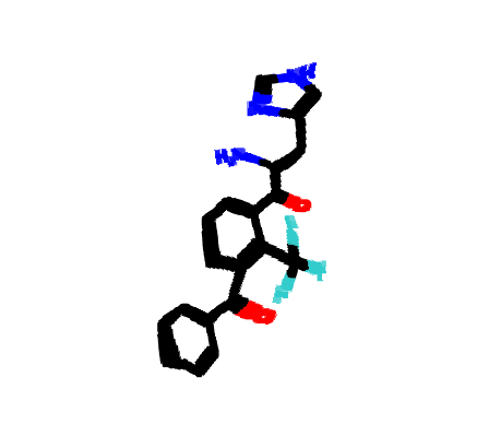 N[C@@H](Cc1c[nH]cn1)C(=O)c1cccc(C(=O)c2ccccc2)c1C(F)(F)F